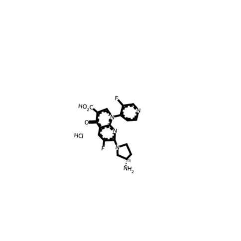 Cl.N[C@H]1CCN(c2nc3c(cc2F)c(=O)c(C(=O)O)cn3-c2ccncc2F)C1